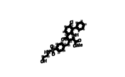 COC(=O)c1[nH]c2c(-c3ccccc3)c(Cl)ccc2c(=O)c1Cc1ccc(S(=O)(=O)NCCO)cc1